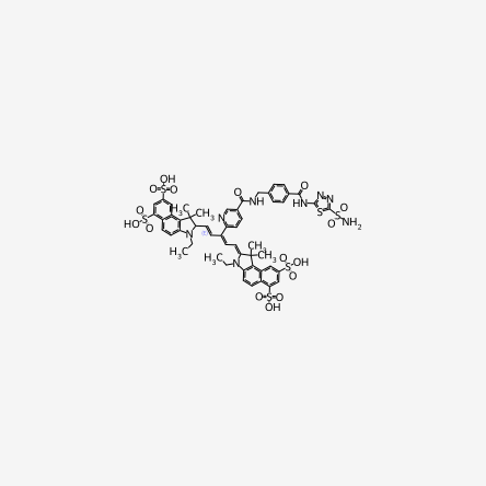 CCN1C(=CC=C(/C=C/C2N(CC)c3ccc4c(S(=O)(=O)O)cc(S(=O)(=O)O)cc4c3C2(C)C)c2ccc(C(=O)NCc3ccc(C(=O)Nc4nnc(S(N)(=O)=O)s4)cc3)cn2)C(C)(C)c2c1ccc1c(S(=O)(=O)O)cc(S(=O)(=O)O)cc21